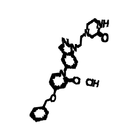 Cl.O=C1CN(CCn2ncc3cc(-n4ccc(OCc5ccccc5)cc4=O)ccc32)CCN1